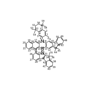 Cc1cc2c(cc1N1c3cc4c(cc3B3c5c1cc1ccccc1c5-c1cccc5c6c(n3c15)C(C)(C)c1ccccc1-6)C(C)(C)c1ccccc1-4)C(C)(C)CCC2(C)C